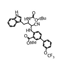 COC(=O)c1cc(-c2cccc(OC(F)(F)F)c2)ccc1NC(C#N)C(Cc1c[nH]c2ccccc12)NC(=O)OC(C)(C)C